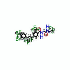 O=C(CNC(=O)c1ccc(C(F)=CC(c2ccc(C(F)(F)F)c(Br)c2)C(F)(F)F)cc1C(F)(F)F)NCC(F)(F)F